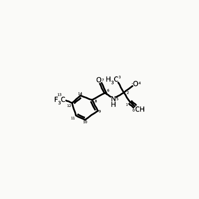 C#CC(C)([O])NC(=O)c1cccc(C(F)(F)F)c1